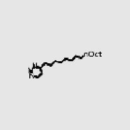 CCCCCCCCCCCCCCCCc1ccnnn1